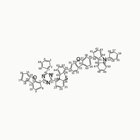 c1ccc(-c2nc(-c3cccc4c3oc3ccccc34)nc(-c3cccc4sc5c(-c6ccc7c(c6)oc6cc(-c8cccc9c8c8ccccc8n9-c8ccccc8)ccc67)cccc5c34)n2)cc1